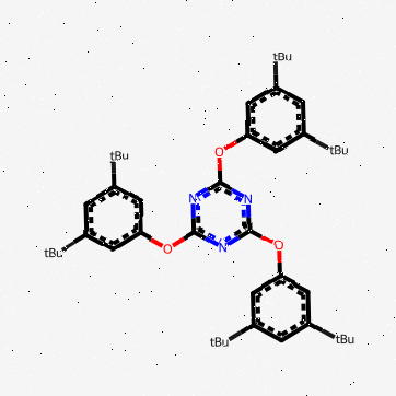 CC(C)(C)c1cc(Oc2nc(Oc3cc(C(C)(C)C)cc(C(C)(C)C)c3)nc(Oc3cc(C(C)(C)C)cc(C(C)(C)C)c3)n2)cc(C(C)(C)C)c1